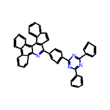 c1ccc(-c2nc(-c3ccccc3)nc(-c3ccc(-c4nc5c6ccccc6c6ccccc6c5c5c4ccc4ccccc45)cc3)n2)cc1